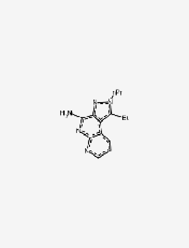 CCCn1nc2c(N)nc3ncccc3c2c1CC